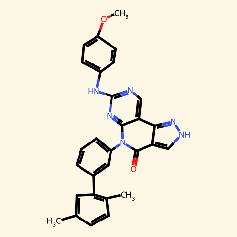 COc1ccc(Nc2ncc3c4n[nH]cc4c(=O)n(-c4cccc(-c5cc(C)ccc5C)c4)c3n2)cc1